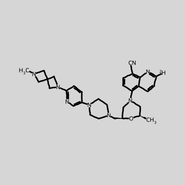 [2H]c1ccc2c(N3C[C@H](CN4CCN(c5ccc(N6CC7(CN(C)C7)C6)nc5)CC4)O[C@H](C)C3)ccc(C#N)c2n1